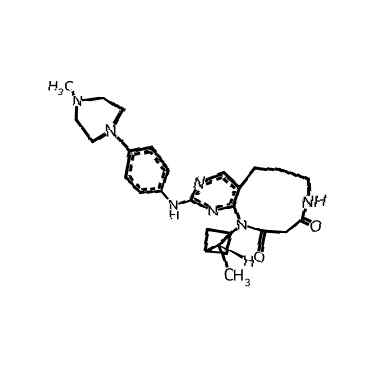 C[C@@H]1C2CC1(N1C(=O)CC(=O)NCCCc3cnc(Nc4ccc(N5CCN(C)CC5)cc4)nc31)C2